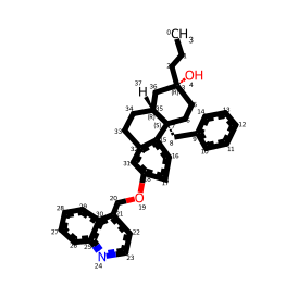 CCC[C@@]1(O)CC[C@@]2(Cc3ccccc3)c3ccc(OCc4ccnc5ccccc45)cc3CC[C@@H]2C1